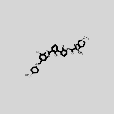 Cc1c(-c2nc3cc(CN[C@H]4CC[C@H](C(=O)O)CC4)cc(C#N)c3o2)cccc1-c1cccc(NC(=O)c2nc3c(n2C)CCN(C)C3)c1Cl